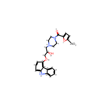 O=C(c1ccc([N+](=O)[O-])o1)N1CCN(CC(O)COc2cccc3[nH]c4ccccc4c23)CC1